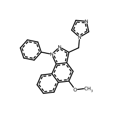 COc1cc2c(Cn3ccnc3)nn(-c3ccccc3)c2c2ccccc12